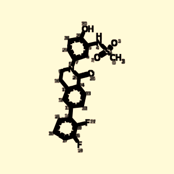 CS(=O)(=O)Nc1cc(N2CCc3cc(-c4cccc(F)c4F)ccc3C2=O)ccc1O